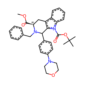 COC(=O)[C@H]1Cc2c(n(C(=O)OC(C)(C)C)c3ccccc23)C(c2ccc(N3CCOCC3)cc2)N1Cc1ccccc1